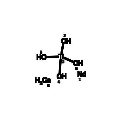 [GaH3].[Nd].[OH][Ti]([OH])([OH])[OH]